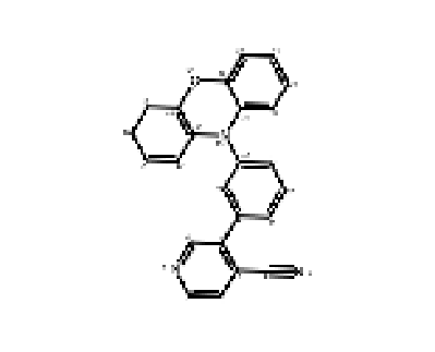 N#Cc1ccncc1-c1cccc(N2C3=C(CCC=C3)Oc3ccccc32)c1